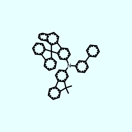 CC1(C)c2ccccc2-c2ccc(N(c3cccc(-c4ccccc4)c3)c3ccc4c(c3)C3(c5ccccc5-c5ccccc53)c3c-4ccc4ccccc34)cc21